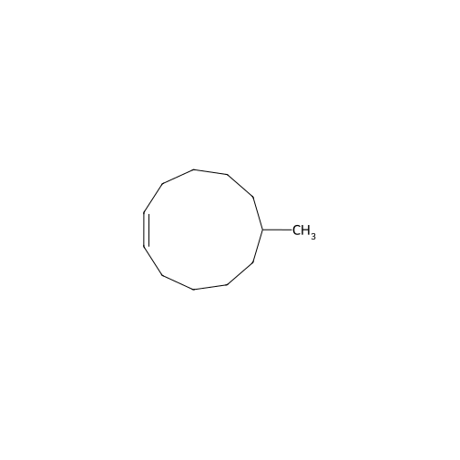 CC1CCCCC=CCCCC1